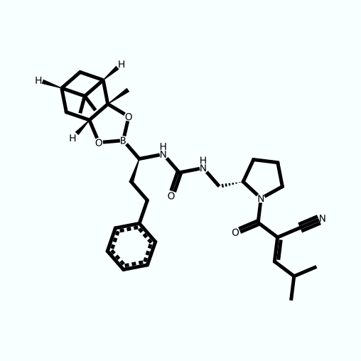 CC(C)/C=C(\C#N)C(=O)N1CCC[C@H]1CNC(=O)N[C@@H](CCc1ccccc1)B1O[C@@H]2C[C@@H]3C[C@@H](C3(C)C)[C@]2(C)O1